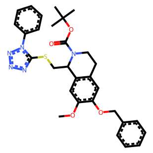 COc1cc2c(cc1OCc1ccccc1)CCN(C(=O)OC(C)(C)C)C2CSc1nnnn1-c1ccccc1